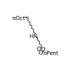 CCCCCCCC/C=C\CCCCCCCCNCCCCCC(=O)OC(=O)CCCCC